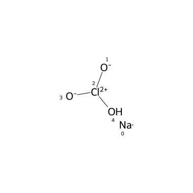 [Na].[O-][Cl+2]([O-])O